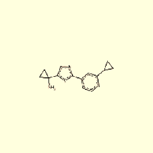 NC1(c2cnc(-c3ccnc(C4CC4)c3)s2)CC1